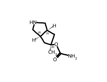 C[C@]1(OC(N)=O)C[C@H]2CNC[C@H]2C1